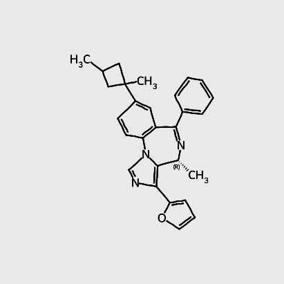 CC1CC(C)(c2ccc3c(c2)C(c2ccccc2)=N[C@H](C)c2c(-c4ccco4)ncn2-3)C1